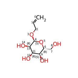 C=CCO[C@H]1O[C@H](CO)[C@@H](O)[C@@H](O)[C@H]1O